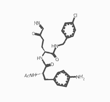 CC(=O)N[C@@H](Cc1ccc(N)cc1)C(=O)N[C@@H](CCC(=O)C=N)C(=O)NCc1ccc(Cl)cc1